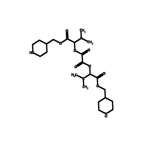 CN(C)C(OC(=O)C(=O)OC(C(=O)OCC1CCNCC1)N(C)C)C(=O)OCC1CCNCC1